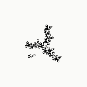 O=P([O][Mo](=[O])(=[O])[O][Mo](=[O])(=[O])[O][Mo](=[O])(=[O])[O][Mo](=[O])(=[O])[O-])([O][Mo](=[O])(=[O])[O][Mo](=[O])(=[O])[O][Mo](=[O])(=[O])[O][Mo](=[O])(=[O])[O-])[O][Mo](=[O])(=[O])[O][Mo](=[O])(=[O])[O][Mo](=[O])(=[O])[O][Mo](=[O])(=[O])[O-].[Ca+2].[Zn+2]